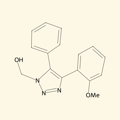 COc1ccccc1-c1nnn(CO)c1-c1ccccc1